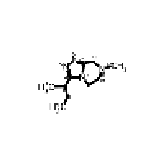 CCC(C)c1nnc2n1CCN(C)C2